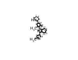 Cc1cc(C2CCCCN2)cc(F)c1-n1nc(-c2cnn(C)c2)c2ccncc21